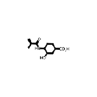 C=C(C)C(=O)NC1CCC(C(=O)O)CC1O